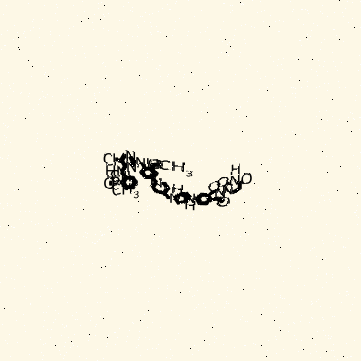 COc1cc(N2CCC(CN3C[C@H]4C[C@@H]3CN4c3ccc4c(c3)C(=O)N(N3CCC(=O)NC3=O)C4=O)CC2)ccc1Nc1ncc(Cl)c(Nc2ccccc2P(C)(C)=O)n1